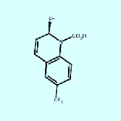 CC[C@@H]1C=Cc2cc(C(F)(F)F)ccc2N1C(=O)O